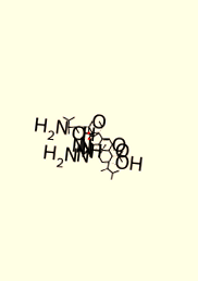 CC(C)[C@@H](C)[C@@]1(C)CC[C@]2(C)[C@H]3CC[C@@H]4[C@@]5(COC[C@@]4(C)[C@@H](OCC(C)(N)C(C)C)[C@H](n4nnc(N)n4)C5)C3=CC(=O)[C@@]2(C)[C@@H]1C(=O)O